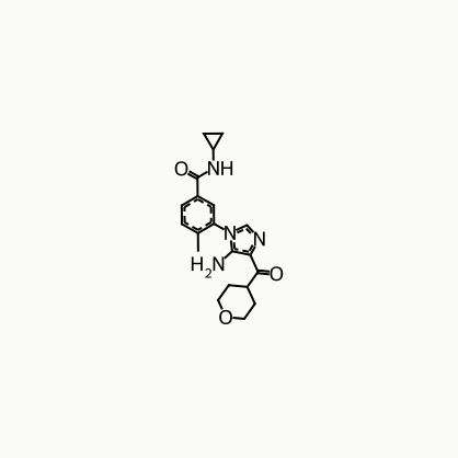 Cc1ccc(C(=O)NC2CC2)cc1-n1cnc(C(=O)C2CCOCC2)c1N